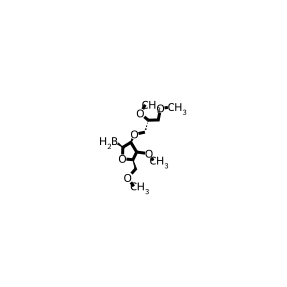 B[C@@H]1O[C@H](COC)C(OC)[C@@H]1OC[C@@H](COC)OC